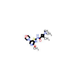 COc1ncc(N2CCOCC2)c2sc(NC(=O)C34CC(N(C)C)(C3)C4C)nc12